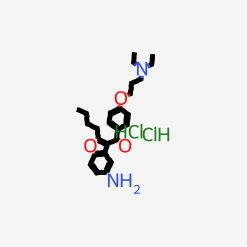 CCCCc1oc2ccc(N)cc2c1C(=O)c1ccc(OCCCN(CC)CC)cc1.Cl.Cl